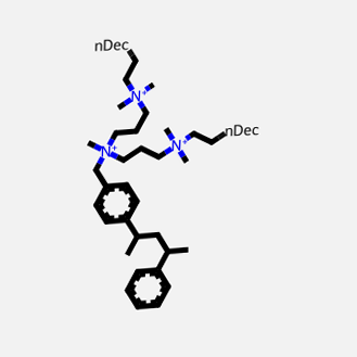 CCCCCCCCCCCC[N+](C)(C)CCC[N+](C)(CCC[N+](C)(C)CCCCCCCCCCCC)Cc1ccc(C(C)CC(C)c2ccccc2)cc1